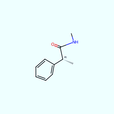 CNC(=O)[C@H](C)c1ccccc1